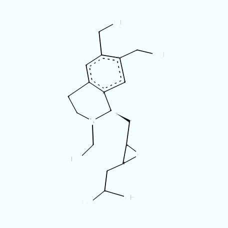 CCN1CCc2cc(CO)c(CO)cc2[C@H]1CC1OC1CC(C)C